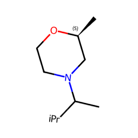 CC(C)C(C)N1CCO[C@@H](C)C1